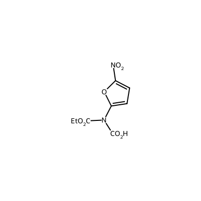 CCOC(=O)N(C(=O)O)c1ccc([N+](=O)[O-])o1